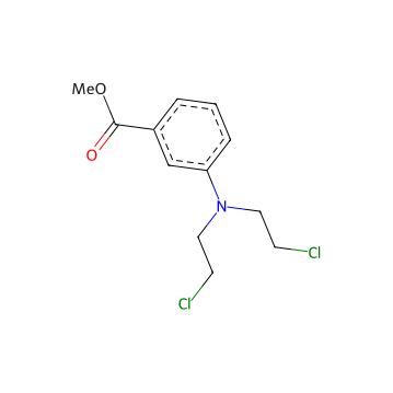 COC(=O)c1cccc(N(CCCl)CCCl)c1